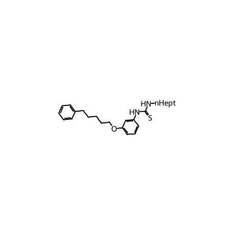 CCCCCCCNC(=S)Nc1cccc(OCCCCCc2ccccc2)c1